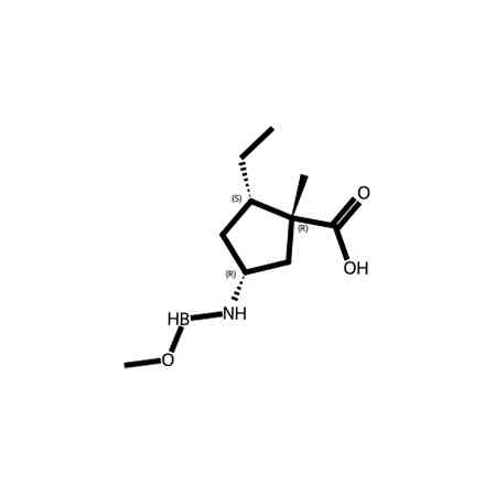 CC[C@H]1C[C@@H](NBOC)C[C@@]1(C)C(=O)O